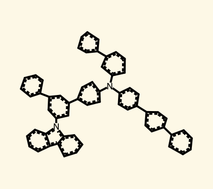 c1ccc(-c2ccc(-c3ccc(N(c4ccc(-c5cc(-c6ccccc6)cc(-n6c7ccccc7c7ccccc76)c5)cc4)c4cccc(-c5ccccc5)c4)cc3)cc2)cc1